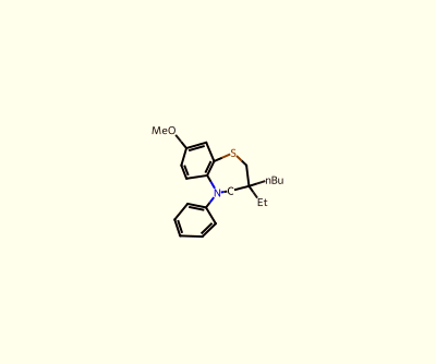 CCCCC1(CC)CSc2cc(OC)ccc2N(c2ccccc2)C1